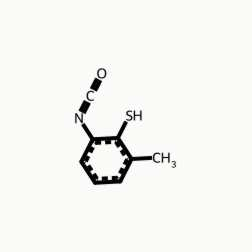 Cc1cccc(N=C=O)c1S